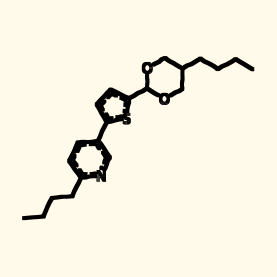 CCCCc1ccc(-c2ccc(C3OCC(CCCC)CO3)s2)cn1